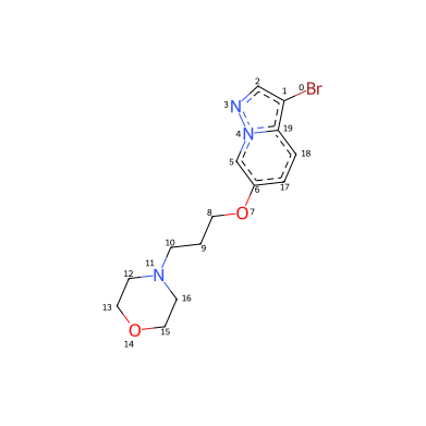 Brc1cnn2cc(OCCCN3CCOCC3)ccc12